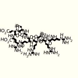 CC[C@H](C)[C@H](NC(=O)[C@H](CCCNC(=N)N)NC(=O)[C@@H](N)CCCNC(=N)N)C(=O)N[C@@H](CCCNC(=N)N)C(=O)N[C@@H](CCC(N)=O)C(=O)NCC(=O)N[C@@H](CC(C)C)C(=O)N[C@@H](CCC(=O)O)C(=O)N[C@@H](CCCNC(=N)N)C(=O)O